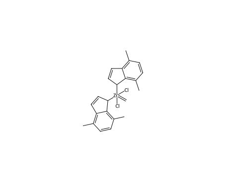 [CH2]=[Zr]([Cl])([Cl])([CH]1C=Cc2c(C)ccc(C)c21)[CH]1C=Cc2c(C)ccc(C)c21